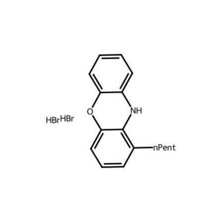 Br.Br.CCCCCc1cccc2c1Nc1ccccc1O2